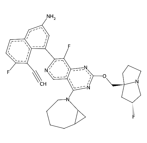 C#Cc1c(F)ccc2cc(N)cc(-c3ncc4c(N5CCCCC6CC65)nc(OC[C@@]56CCCN5C[C@H](F)C6)nc4c3F)c12